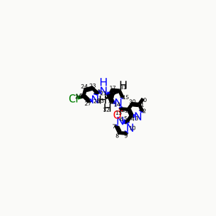 Cc1cnc(-c2ncccn2)c(C(=O)N2C[C@@H]3CC[C@H]2[C@H](Nc2ccc(Cl)cn2)C3)c1